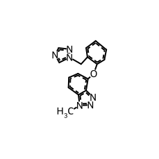 Cn1nnc2c(Oc3ccccc3Cn3cncn3)cccc21